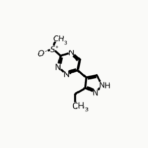 CCc1n[nH]cc1-c1cnc([S+](C)[O-])nn1